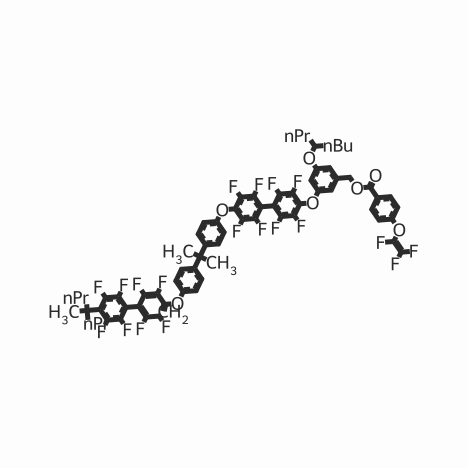 C=C(Oc1ccc(C(C)(C)c2ccc(Oc3c(F)c(F)c(-c4c(F)c(F)c(Oc5cc(COC(=O)c6ccc(OC(F)=C(F)F)cc6)cc(OC(CCC)CCCC)c5)c(F)c4F)c(F)c3F)cc2)cc1)/C(F)=C(F)\C(=C(\F)CF)c1c(F)c(F)c(C(C)(CCC)CCC)c(F)c1F